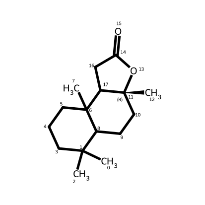 CC1(C)CCCC2(C)C1CC[C@@]1(C)OC(=O)CC21